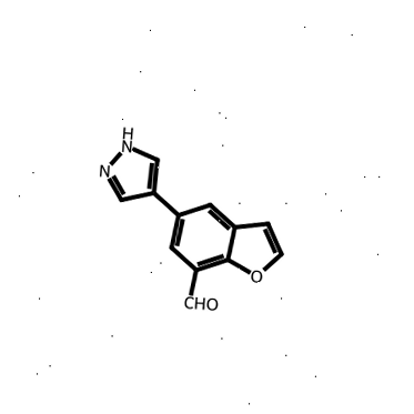 O=Cc1cc(-c2cn[nH]c2)cc2ccoc12